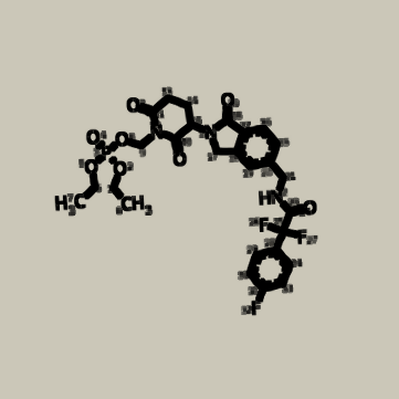 CCOP(=O)(OCC)OCN1C(=O)CCC(N2Cc3cc(CNC(=O)C(F)(F)c4ccc(F)cc4)ccc3C2=O)C1=O